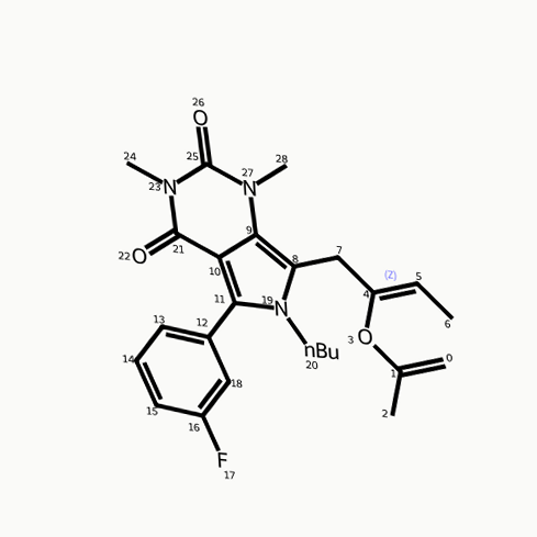 C=C(C)O/C(=C\C)Cc1c2c(c(-c3cccc(F)c3)n1CCCC)c(=O)n(C)c(=O)n2C